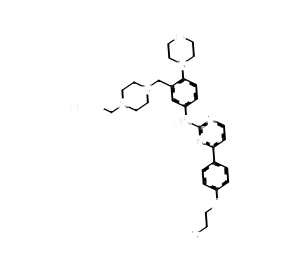 NCCOc1ccc(-c2ccnc(Nc3ccc(N4CCOCC4)c(CN4CCN(CC(=O)O)CC4)c3)n2)cc1